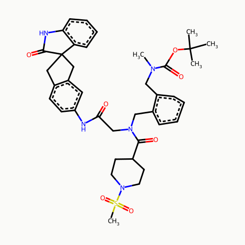 CN(Cc1ccccc1CN(CC(=O)Nc1ccc2c(c1)CC1(C2)C(=O)Nc2ccccc21)C(=O)C1CCN(S(C)(=O)=O)CC1)C(=O)OC(C)(C)C